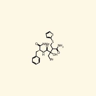 CNC(=O)[C@H](Cc1ccccc1)NC(=O)C(O)(CC(C)C)C(CSc1cccs1)C(N)=O